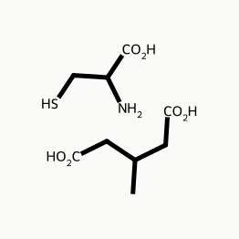 CC(CC(=O)O)CC(=O)O.NC(CS)C(=O)O